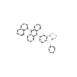 CC12CCCC1(C)N(c1ccccc1)c1ccc(-c3c4ccccc4c(-c4cccc5ccccc45)c4ccccc34)cc12